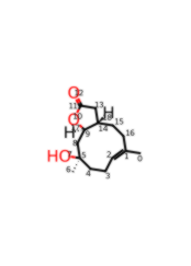 C/C1=C\CC[C@@](C)(O)C[C@H]2OC(=O)C[C@@H]2CC1